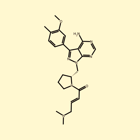 COc1cc(-c2nn(C[C@H]3CCCN3C(=O)/C=C/CN(C)C)c3ncnc(N)c23)ccc1C